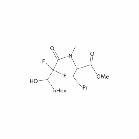 CCCCCCC(O)C(F)(F)C(=O)N(C)C(CC(C)C)C(=O)OC